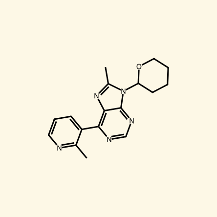 Cc1ncccc1-c1ncnc2c1nc(C)n2C1CCCCO1